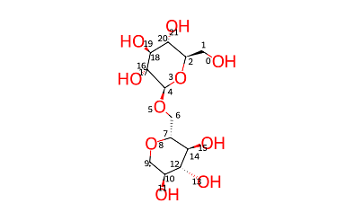 OC[C@H]1O[C@@H](OC[C@H]2O[CH][C@H](O)[C@@H](O)[C@@H]2O)[C@H](O)[C@@H](O)[C@@H]1O